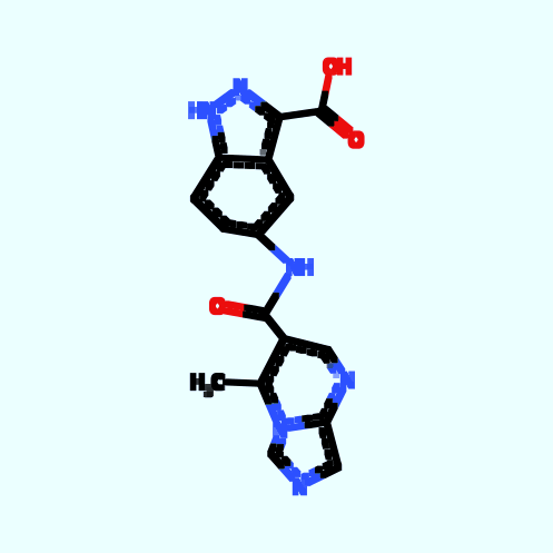 Cc1c(C(=O)Nc2ccc3[nH]nc(C(=O)O)c3c2)cnc2cncn12